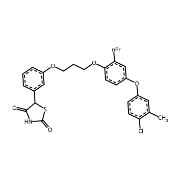 CCCc1cc(Oc2ccc(Cl)c(C)c2)ccc1OCCCOc1cccc(C2SC(=O)NC2=O)c1